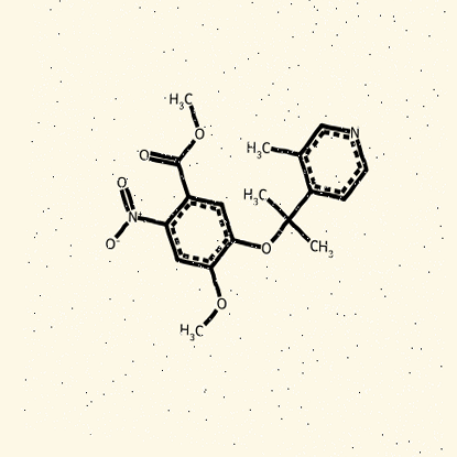 COC(=O)c1cc(OC(C)(C)c2ccncc2C)c(OC)cc1[N+](=O)[O-]